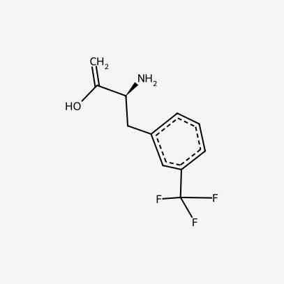 C=C(O)[C@@H](N)Cc1cccc(C(F)(F)F)c1